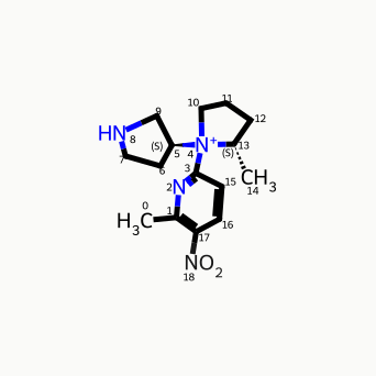 Cc1nc([N+]2([C@H]3CCNC3)CCC[C@@H]2C)ccc1[N+](=O)[O-]